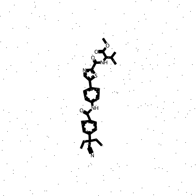 CCC(C#N)(CC)c1ccc(C(=O)Nc2ccc(-c3cnc(C(=O)NC(C(=O)OC)C(C)C)s3)cc2)cc1